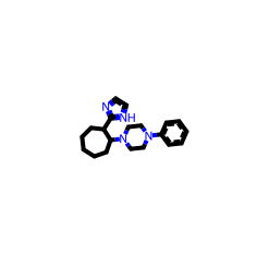 c1ccc(N2CCN(C3CCCCCC3c3ncc[nH]3)CC2)cc1